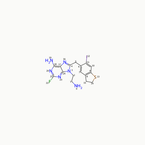 NCCn1c(Cc2cc3c(cc2I)SCC3)nc2c(N)nc(F)nc21